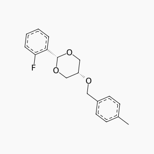 Cc1ccc(CO[C@H]2CO[C@@H](c3ccccc3F)OC2)cc1